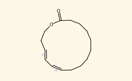 O=C1CCCCCCCC/C=C\C=C\CCO1